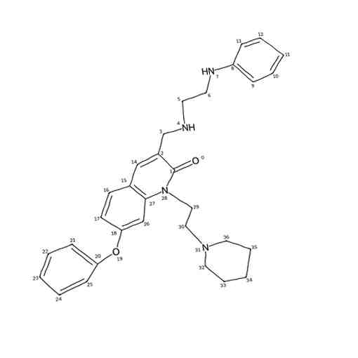 O=c1c(CNCCNc2ccccc2)cc2ccc(Oc3ccccc3)cc2n1CCN1CCCCC1